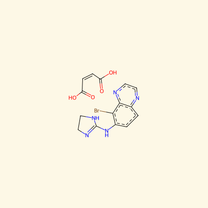 Brc1c(NC2=NCCN2)ccc2nccnc12.O=C(O)/C=C\C(=O)O